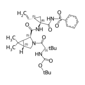 C=C[C@@H]1C[C@]1(NC(=O)[C@@H]1C2[C@H](CN1C(=O)[C@@H](NC(=O)OC(C)(C)C)C(C)(C)C)C2(C)C)C(=O)NS(=O)(=O)c1ccccc1